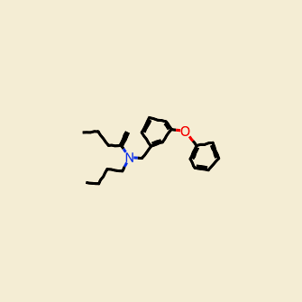 C=C(CCC)N(CCCC)Cc1cccc(Oc2ccccc2)c1